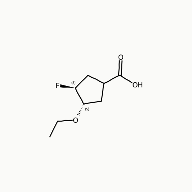 CCO[C@H]1CC(C(=O)O)C[C@@H]1F